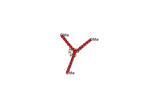 COCCOCCOCCOCCOCCOCCOCCOCCOCCOCCOCCNC(=O)CCOCC(N)(COCCC(=O)NCCOCCOCCOCCOCCOCCOCCOCCOCCOCCOCCOC)COCCC(=O)NCCOCCOOCCOCCOCCOCCOCCOCCOCCOCCOC